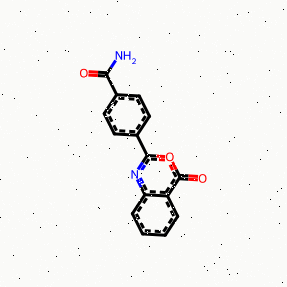 NC(=O)c1ccc(-c2nc3ccccc3c(=O)o2)cc1